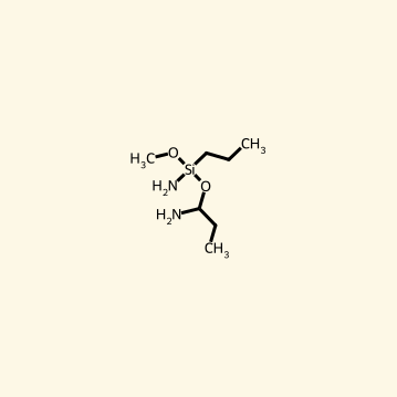 CCC[Si](N)(OC)OC(N)CC